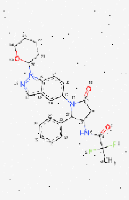 CC(F)(F)C(=O)NC1CC(=O)N(c2ccc3c(cnn3C3CCCCO3)c2)C1c1ccccc1